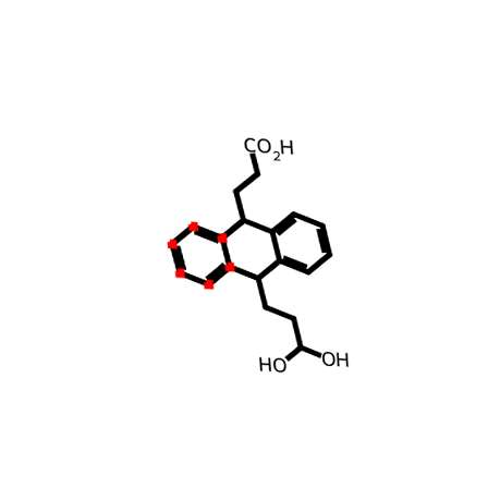 O=C(O)CCC12c3ccccc3C(CCC(O)O)(c3ccccc31)c1ccccc12